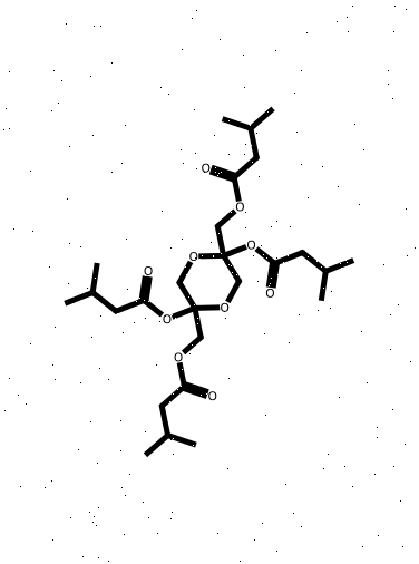 CC(C)CC(=O)OCC1(OC(=O)CC(C)C)COC(COC(=O)CC(C)C)(OC(=O)CC(C)C)CO1